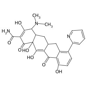 CN(C)C1C(O)=C(C(N)=O)C(=O)C2(O)C(O)=C3C(=O)c4c(O)ccc(-c5ccccn5)c4CC3CC12